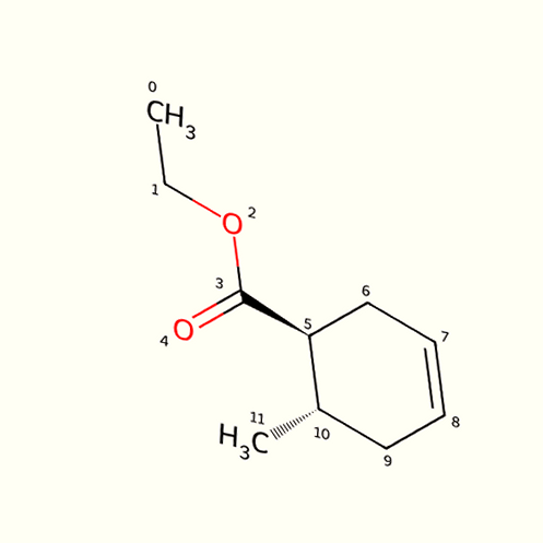 CCOC(=O)[C@H]1CC=CC[C@@H]1C